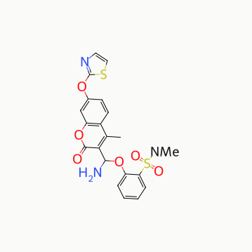 CNS(=O)(=O)c1ccccc1OC(N)c1c(C)c2ccc(Oc3nccs3)cc2oc1=O